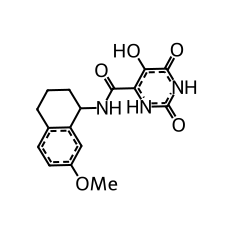 COc1ccc2c(c1)C(NC(=O)c1[nH]c(=O)[nH]c(=O)c1O)CCC2